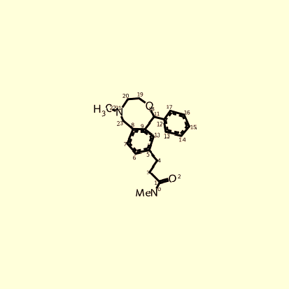 CNC(=O)CCc1ccc2c(c1)C(c1ccccc1)OCCN(C)C2